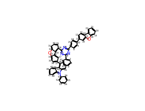 c1ccc(-c2nc(-c3ccc(-c4ccc5c(c4)oc4ccccc45)cc3)nc(-c3cccc4oc5ccc(-c6cccc7c6c6ccccc6n7-c6ccccc6)cc5c34)n2)cc1